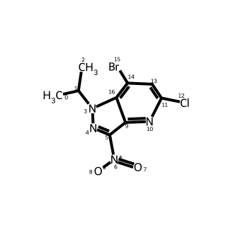 CC(C)n1nc([N+](=O)[O-])c2nc(Cl)cc(Br)c21